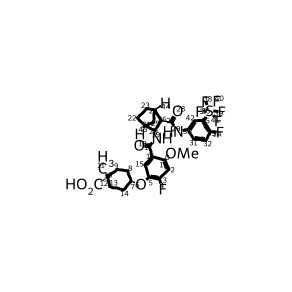 COc1cc(F)c(O[C@H]2CC[C@@](C)(C(=O)O)CC2)cc1C(=O)N[C@H]1[C@@H]2CC[C@@H](C2)[C@H]1C(=O)Nc1ccc(F)c(S(F)(F)(F)(F)F)c1